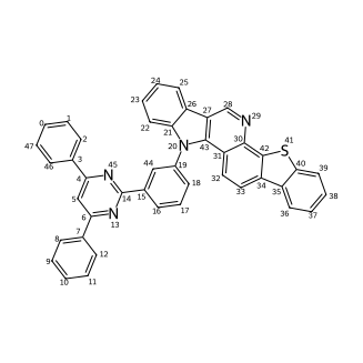 c1ccc(-c2cc(-c3ccccc3)nc(-c3cccc(-n4c5ccccc5c5cnc6c(ccc7c8ccccc8sc76)c54)c3)n2)cc1